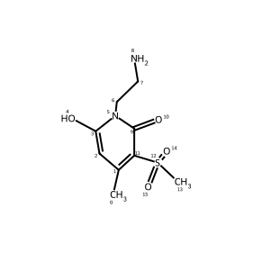 Cc1cc(O)n(CCN)c(=O)c1S(C)(=O)=O